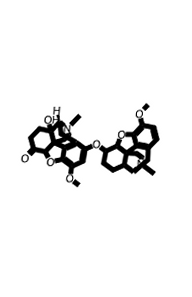 COc1ccc2c3c1OC1C(Oc4cc(OC)c5c6c4C[C@H]4N(C)CCC67C(O5)C(=O)CCC47O)CCC4C(C2)N(C)CCC341